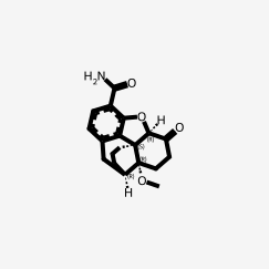 CO[C@@]12CCC(=O)[C@@H]3Oc4c(C(N)=O)ccc5c4[C@@]31CCC[C@@H]2C5